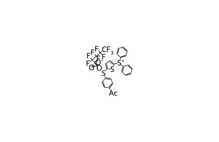 CC(=O)c1ccc(Sc2ccc([S+](c3ccccc3)c3ccccc3)s2)cc1.O=S(=O)([O-])C(F)(F)C(F)(F)C(F)(F)C(F)(F)F